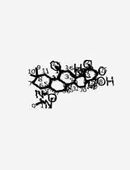 Cc1noc([C@]23CCC(C)(C)CC2C2C(=O)C=C4[C@@]5(C)[C@H]6O[C@@]6(C#N)C(=O)[C@@](C)(O)[C@@H]5CC[C@@]4(C)[C@]2(C)CC3)n1